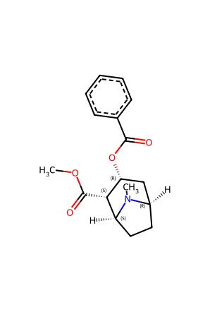 COC(=O)[C@@H]1[C@H](OC(=O)c2ccccc2)C[C@H]2CC[C@@H]1N2C